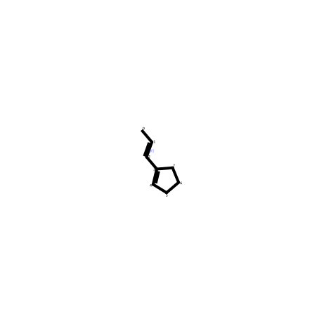 C/C=C/C1=CCCC1